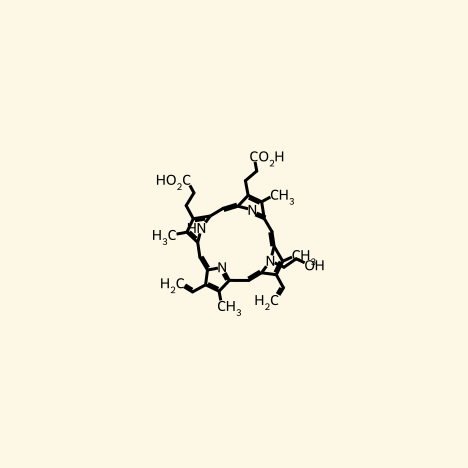 C=CC1=C(C)c2cc3c(C=C)c(C)c(cc4nc(cc5[nH]c(cc1n2)c(C)c5CCC(=O)O)C(CCC(=O)O)=C4C)n3CCO